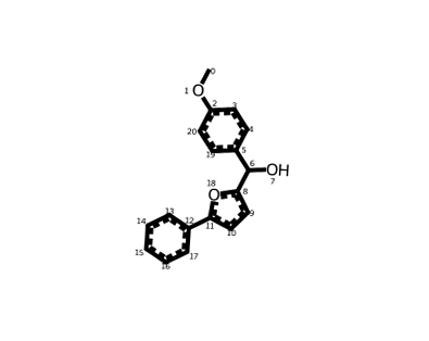 COc1ccc(C(O)c2ccc(-c3ccccc3)o2)cc1